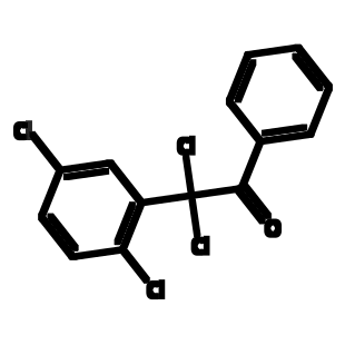 O=C(c1ccccc1)C(Cl)(Cl)c1cc(Cl)ccc1Cl